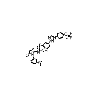 CN(C)c1cccc(N2C(=O)CS/C2=N\C(=O)Nc2ccc(-c3ncn(-c4ccc(OC(F)(F)F)cc4)n3)cc2F)c1